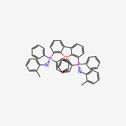 Cc1ccccc1N=P(c1ccccc1)(c1ccccc1)c1cccc2c1oc1c(P(=Nc3ccccc3C)(c3ccccc3)c3ccccc3)cccc12